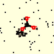 [Li+].[O-]B([O-])[O-].[Zr+4]